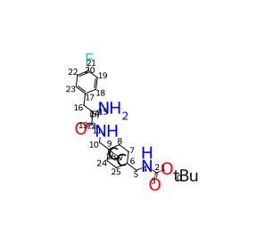 CC(C)(C)OC(=O)NCC12CCC(CNC(=O)[C@@H](N)Cc3ccc(F)cc3)(CC1)CC2